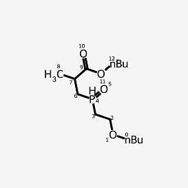 CCCCOCC[PH](=O)CC(C)C(=O)OCCCC